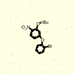 CCCCOc1cc(Oc2ccccc2Br)ccc1[N+](=O)[O-]